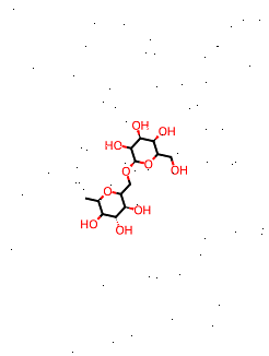 CC1OC(CO[C@@H]2OC(CO)[C@H](O)[C@H](O)C2O)[C@@H](O)[C@H](O)C1O